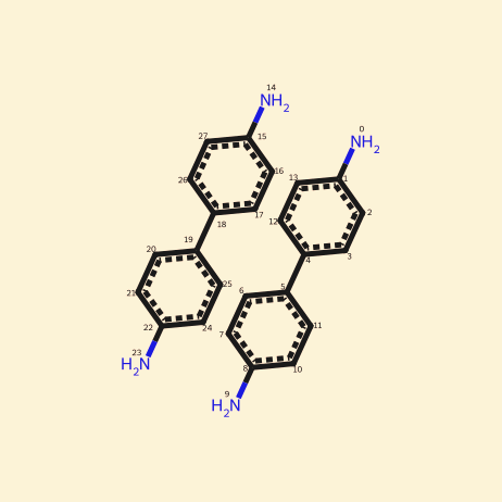 Nc1ccc(-c2ccc(N)cc2)cc1.Nc1ccc(-c2ccc(N)cc2)cc1